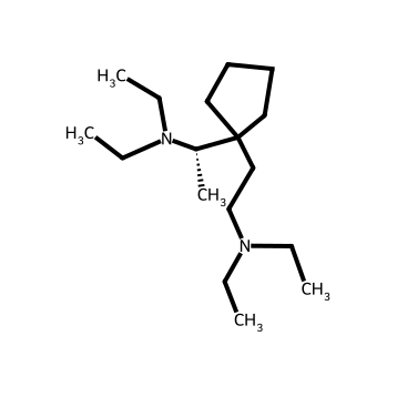 CCN(CC)CCC1([C@H](C)N(CC)CC)CCCC1